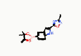 C=C1OB(c2ccc3[nH]c(-c4nc(C)no4)cc3c2)OC1(C)C